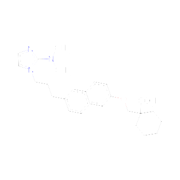 CN(C)c1nccn1CCCc1ccc2cc(OCC3(C(=O)O)CCCCC3)ccc2c1